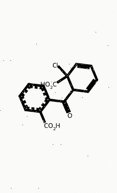 O=C(O)c1ccccc1C(=O)C1C=CC=CC1(Cl)C(=O)O